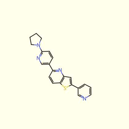 c1cncc(-c2cc3nc(-c4ccc(N5CCCC5)nc4)ccc3s2)c1